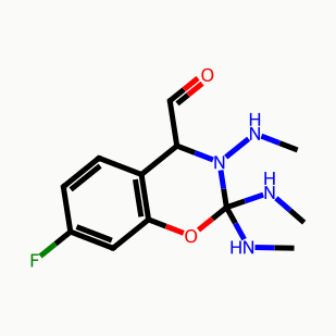 CNN1C(C=O)c2ccc(F)cc2OC1(NC)NC